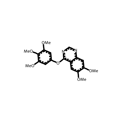 COc1cc2ncnc(Oc3cc(OC)c(OC)c(OC)c3)c2cc1OC